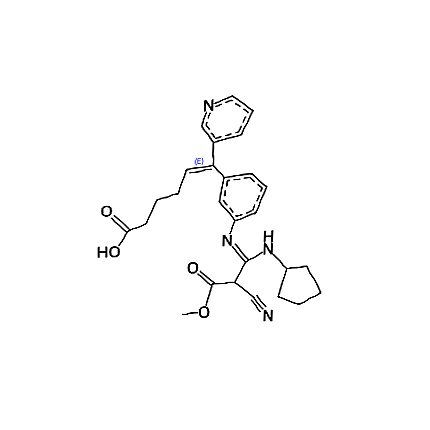 COC(=O)C(C#N)C(=Nc1cccc(/C(=C\CCCC(=O)O)c2cccnc2)c1)NC1CCCC1